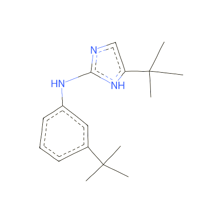 CC(C)(C)c1cccc(Nc2ncc(C(C)(C)C)[nH]2)c1